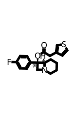 O=C(Cc1ccsc1)O[C@]1(c2ccc(F)cc2)CN2CCCC[C@@H]21